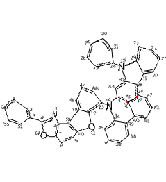 c1ccc(-c2nc3c(ccc4oc5c(N(c6ccc7c8ccccc8n(-c8ccccc8)c7c6)c6ccccc6-c6ccccc6)cccc5c43)o2)cc1